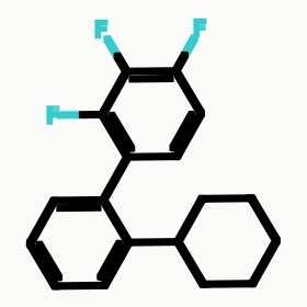 Fc1ccc(-c2ccccc2C2CCCCC2)c(F)c1F